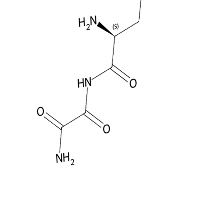 CC(C)C[C@H](N)C(=O)NC(=O)C(N)=O